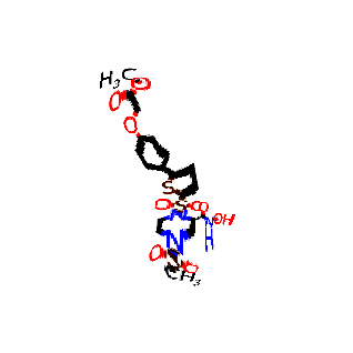 COC(=O)COc1ccc(-c2ccc(S(=O)(=O)N3CCN(S(C)(=O)=O)C[C@@H]3C(=O)NO)s2)cc1